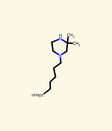 CCCCCCCCCCCCN1CCNC(C)(C)C1